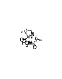 Cc1ccnnc1C(=O)O.NC(=O)C1CC1